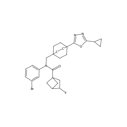 O=C(N(CC12CCC(c3nnc(C4CC4)o3)(CC1)CC2)c1cccc(Br)c1)C12CC(F)C(C1)C2